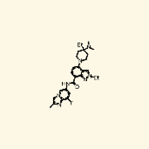 CCn1cc2c(N3CCC(CC)(N(C)C)CC3)ccc(C(=O)Nc3cc(F)c4nc(C)cn4c3)c2n1